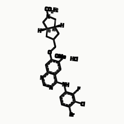 CCOC(=O)N1C[C@H]2CC(COc3cc4ncnc(Nc5ccc(Br)c(Cl)c5F)c4cc3OC)C[C@H]2C1.Cl